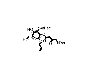 C=CCOC1O[C@H](CO)[C@@H](O)[C@H](OCCCCCCCCCC)[C@H]1OC(=O)CC(=O)CCCCCCCCCCC